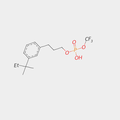 CCC(C)(C)c1cccc(CCCOP(=O)(O)OC(F)(F)F)c1